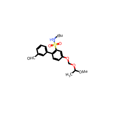 COC(C)OCOc1ccc(-c2cccc(C=O)c2)c(S(=O)(=O)NC(C)(C)C)c1